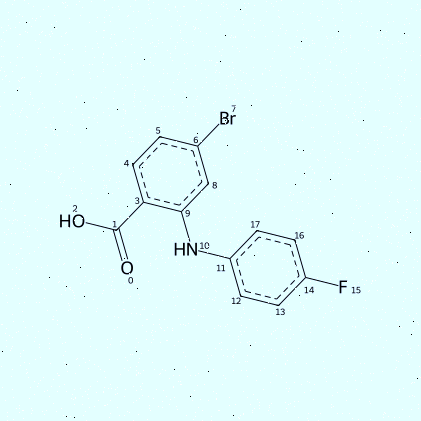 O=C(O)c1ccc(Br)cc1Nc1ccc(F)cc1